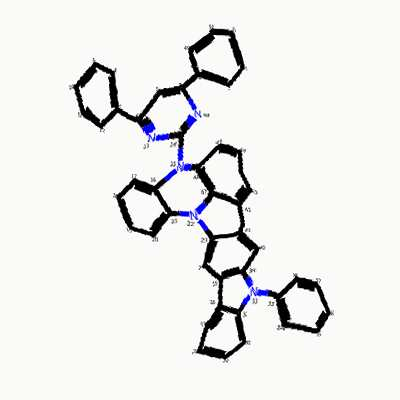 c1ccc(-c2cc(-c3ccccc3)nc(N3c4ccccc4-n4c5cc6c7ccccc7n(-c7ccccc7)c6cc5c5cccc3c54)n2)cc1